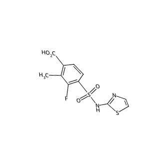 Cc1c(C(=O)O)ccc(S(=O)(=O)Nc2nccs2)c1F